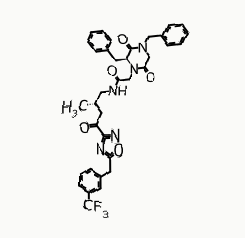 C[C@H](CNC(=O)CN1C(=O)CN(Cc2ccccc2)C(=O)[C@@H]1Cc1ccccc1)CC(=O)c1noc(Cc2cccc(C(F)(F)F)c2)n1